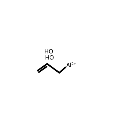 C=C[CH2][Al+2].[OH-].[OH-]